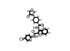 O=C(Nc1ccc(Cl)cn1)c1oc2cccnc2c1NC(=O)[C@H]1CC[C@H](N2COCC2=O)CC1